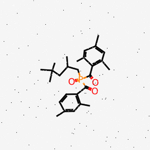 Cc1ccc(C(=O)P(=O)(CC(C)CC(C)(C)C)C(=O)c2c(C)cc(C)cc2C)c(C)c1